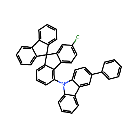 Clc1ccc2c(c1)C1(c3ccccc3-c3ccccc31)c1cccc(-n3c4ccccc4c4cc(-c5ccccc5)ccc43)c1-2